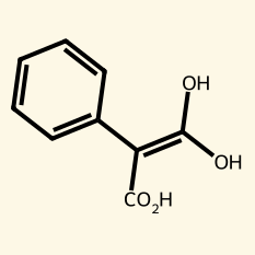 O=C(O)C(=C(O)O)c1ccccc1